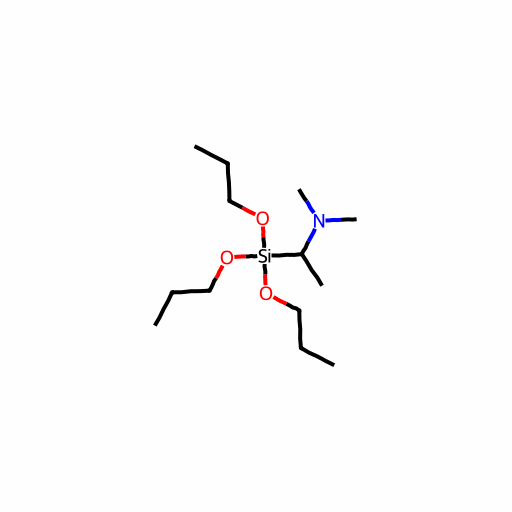 CCCO[Si](OCCC)(OCCC)C(C)N(C)C